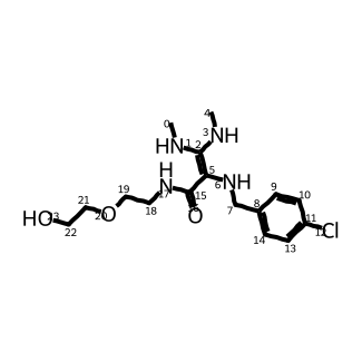 CNC(NC)=C(NCc1ccc(Cl)cc1)C(=O)NCCOCCO